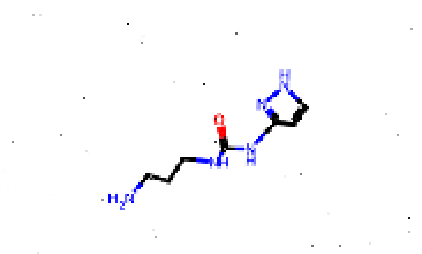 NCCCNC(=O)Nc1cc[nH]n1